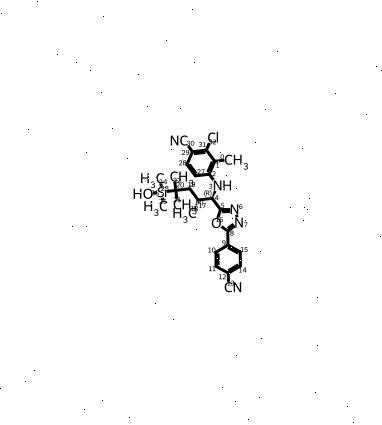 Cc1c(N[C@@H](c2nnc(-c3ccc(C#N)cc3)o2)[C@H](C)CC(C)(C)[Si](C)(C)O)ccc(C#N)c1Cl